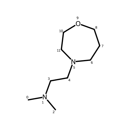 CN(C)CCN1CCCOCC1